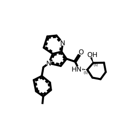 Cc1ccc(Cn2cc(C(=O)N[C@H]3CCCC[C@@H]3O)c3ncccc32)cc1